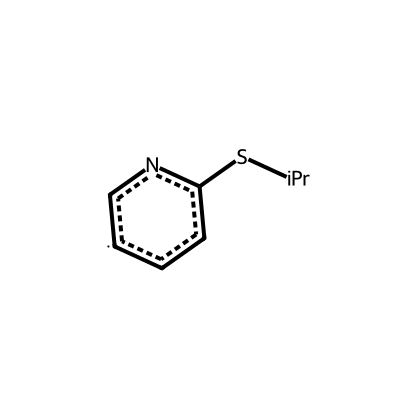 CC(C)Sc1cc[c]cn1